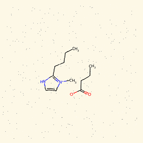 CCCC(=O)[O-].CCCCc1[nH]cc[n+]1C